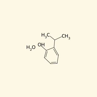 CC(C)c1ccccc1O.O